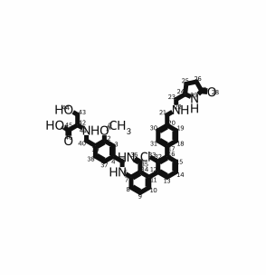 COc1cc(CNc2cccc(-c3cccc(-c4ccc(CNCC5CCC(=O)N5)cc4)c3Cl)c2C=N)ccc1CNC(CO)C(=O)O